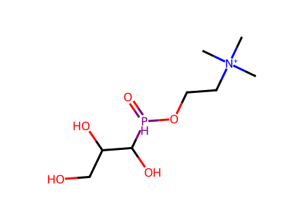 C[N+](C)(C)CCO[PH](=O)C(O)C(O)CO